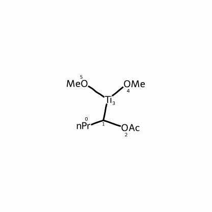 CCC[CH](OC(C)=O)[Ti]([O]C)[O]C